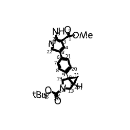 COC(=O)c1cc(-c2ccc([C@]34C[C@H]3CN(C(=O)OC(C)(C)C)C4)cc2)cnc1N